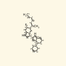 C=N/C=N\C=C(/C)c1cc2c(-c3nc4c(-c5ccncc5)ccnc4[nH]3)n[nH]c2cc1F